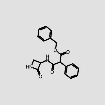 O=C1NCC1NC(=O)C(C(=O)OCc1ccccc1)c1ccccc1